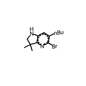 CCCCc1cc2c(nc1Br)C(C)(C)CN2